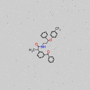 CC(C(=O)NCCC(Oc1ccc(C(F)(F)F)cc1)c1ccccc1)c1cccc(C(=O)c2ccccc2)c1